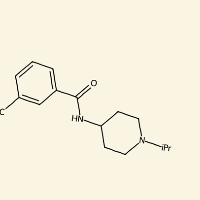 CC(C)N1CCC(NC(=O)c2cccc(C#N)c2)CC1